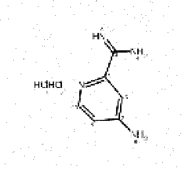 Cl.Cl.N=C(N)c1cc(N)ccn1